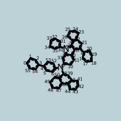 c1ccc(-c2ccc(N(c3ccc4c5c(-c6ccccc6)cc6ccccc6c5n(-c5ccccc5)c4c3)c3cc4ccccc4c4ccccc34)cc2)cc1